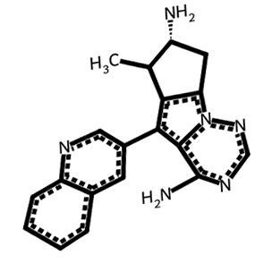 CC1c2c(-c3cnc4ccccc4c3)c3c(N)ncnn3c2C[C@H]1N